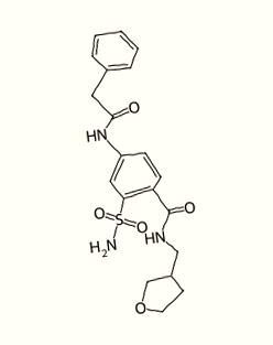 NS(=O)(=O)c1cc(NC(=O)Cc2ccccc2)ccc1C(=O)NCC1CCOC1